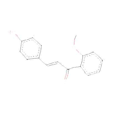 COc1ccccc1C(=O)C=Cc1ccc(O)cc1